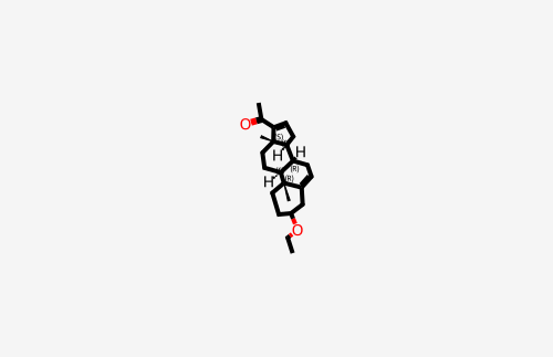 CCOC1CC[C@@]2(C)C(=CC[C@@H]3[C@@H]2CC[C@]2(C)C(C(C)=O)=CC[C@@H]32)C1